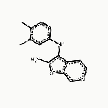 Cc1ccc(Nc2c(N)oc3cnccc23)cc1C